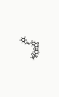 O=S(=O)(c1ccc(Cc2cnc3ccc(C#CCc4ccccc4)cc3c2O)cc1)N1CC1